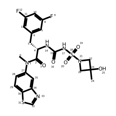 CN(C(=O)[C@H](Cc1cc(F)cc(F)c1)NC(=O)NS(=O)(=O)N1CC(C)(O)C1)c1ccc2scnc2c1